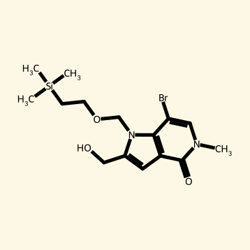 Cn1cc(Br)c2c(cc(CO)n2COCC[Si](C)(C)C)c1=O